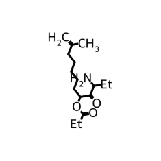 C=C(C)CCCCCC(OC(=O)CC)C(=O)C(N)CC